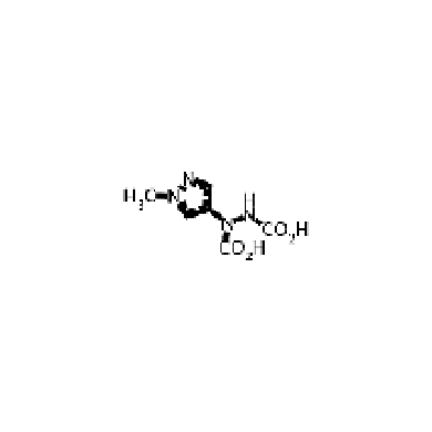 Cn1cc(N(NC(=O)O)C(=O)O)cn1